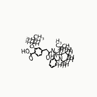 [2H]C([2H])(C)C([2H])([2H])Oc1cc(CC(=O)N[C@@H](CC(C)C)c2ccccc2N2C([2H])([2H])C([2H])([2H])C([2H])([2H])C([2H])([2H])C2([2H])[2H])ccc1C(=O)O